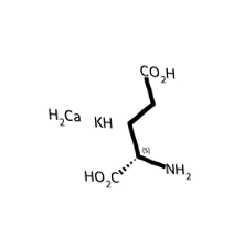 N[C@@H](CCC(=O)O)C(=O)O.[CaH2].[KH]